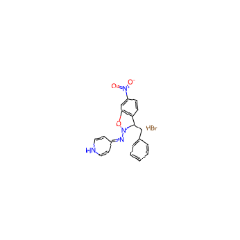 Br.O=[N+]([O-])c1ccc2c(c1)ON(N=c1cc[nH]cc1)C2Cc1ccccc1